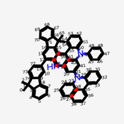 CC1(C)c2ccccc2-c2cc(-c3cc4c(cc3Nc3cc(N(c5ccccc5)c5ccccc5-c5ccccc5)cc(N(c5ccccc5)c5ccccc5-c5ccccc5)c3)C(C)(C)c3ccccc3-4)ccc21